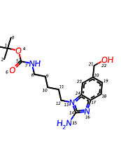 CC(C)(C)OC(=O)NCCCCCn1c(N)nc2ccc(CO)cc21